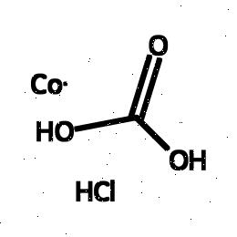 Cl.O=C(O)O.[Co]